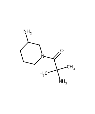 CC(C)(N)C(=O)N1CCCC(N)C1